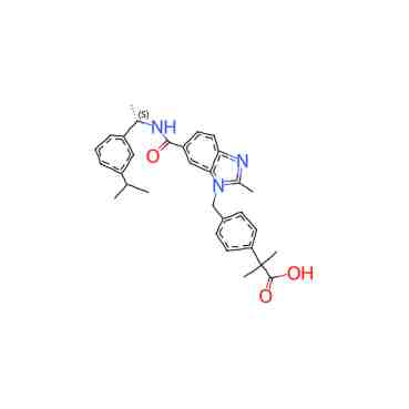 Cc1nc2ccc(C(=O)N[C@@H](C)c3cccc(C(C)C)c3)cc2n1Cc1ccc(C(C)(C)C(=O)O)cc1